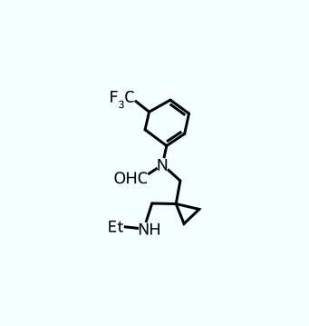 CCNCC1(CN(C=O)C2=CC=CC(C(F)(F)F)C2)CC1